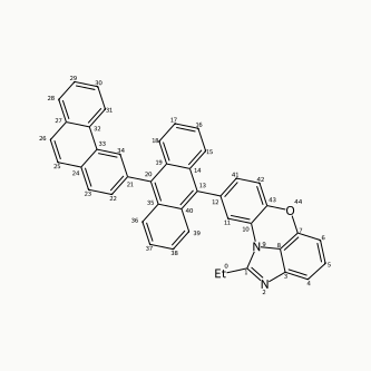 CCc1nc2cccc3c2n1-c1cc(-c2c4ccccc4c(-c4ccc5ccc6ccccc6c5c4)c4ccccc24)ccc1O3